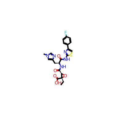 CC[C@]1(C(=O)O)O[C@@H]1C(=O)N[C@@H](Cc1cn(C)cn1)C(=O)Nc1nc(-c2ccc(F)cc2)cs1